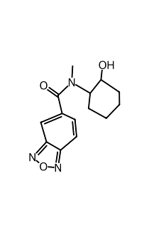 CN(C(=O)c1ccc2nonc2c1)C1CCCCC1O